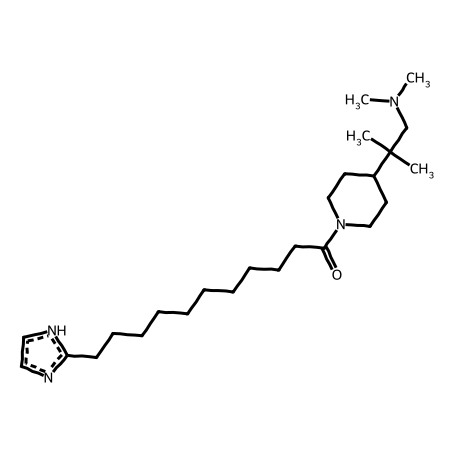 CN(C)CC(C)(C)C1CCN(C(=O)CCCCCCCCCCc2ncc[nH]2)CC1